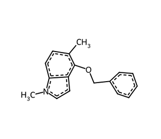 Cc1ccc2c(ccn2C)c1OCc1ccccc1